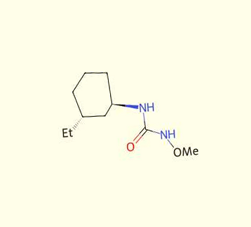 CC[C@@H]1CCC[C@@H](NC(=O)NOC)C1